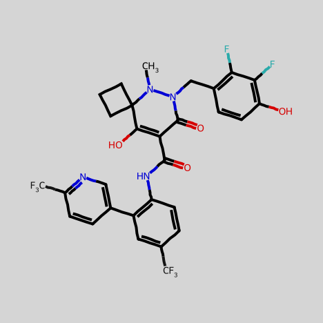 CN1N(Cc2ccc(O)c(F)c2F)C(=O)C(C(=O)Nc2ccc(C(F)(F)F)cc2-c2ccc(C(F)(F)F)nc2)=C(O)C12CCC2